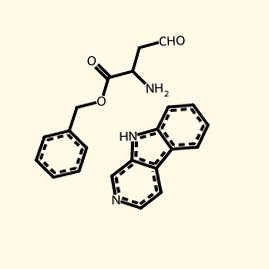 NC(CC=O)C(=O)OCc1ccccc1.c1ccc2c(c1)[nH]c1cnccc12